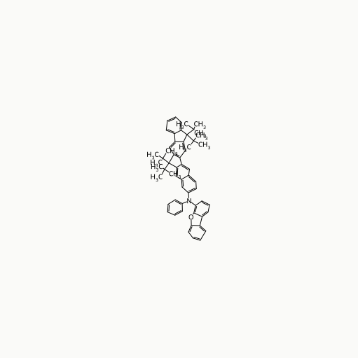 CC(C)(C)C1(C(C)(C)C)c2ccccc2-c2cc3c(cc21)-c1cc2ccc(N(c4ccccc4)c4cccc5c4oc4ccccc45)cc2cc1C3(C(C)(C)C)C(C)(C)C